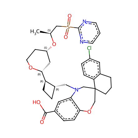 C[C@@H](CS(=O)(=O)c1ncccn1)O[C@H]1CCO[C@@H]([C@@H]2CC[C@H]2CN2CC3(CCCc4cc(Cl)ccc43)COc3ccc(C(=O)O)cc32)C1